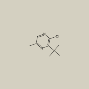 Cc1cnc(Cl)c(C(C)(C)C)n1